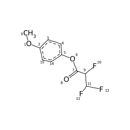 COc1ccc(OC(=O)C(F)C(F)F)cc1